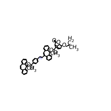 C=C(C)COC1C2CC3C1OC(=O)C3C2C(=O)OC1(C)c2ccccc2C=C(/C=C/c2ccc(C(=O)OC3(C)c4ccccc4C=Cc4ccccc43)cc2)c2ccccc21